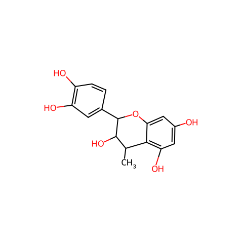 CC1c2c(O)cc(O)cc2OC(c2ccc(O)c(O)c2)C1O